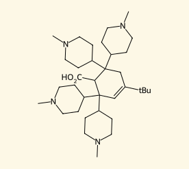 CN1CCC(C2(C3CCN(C)CC3)C=C(C(C)(C)C)CC(C3CCN(C)CC3)(C3CCN(C)CC3)C2C(=O)O)CC1